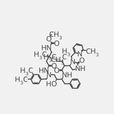 CCC(C)C(C(=O)NC(Cc1ccccc1)C(O)CN(Cc1ccc(C)c(C)c1)NC(=O)CC(C)(C)CNC(=O)OC)C1CNC(=O)N1Cc1cccc(C)n1